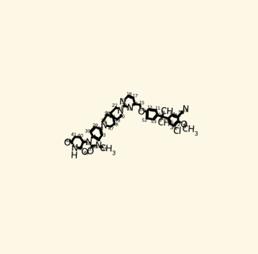 COc1c(Cl)cc(C(C)(C)c2ccc(OCc3ccnc(N4CCC5(CCN(c6ccc7c(c6)n(C)c(=O)n7C6CCC(=O)NC6=O)CC5)CC4)n3)cc2)cc1C#N